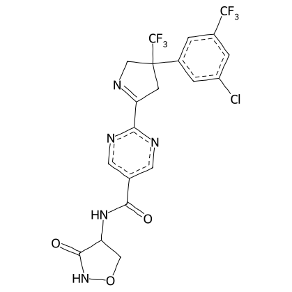 O=C(NC1CONC1=O)c1cnc(C2=NCC(c3cc(Cl)cc(C(F)(F)F)c3)(C(F)(F)F)C2)nc1